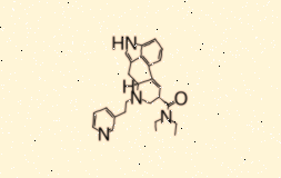 CCN(CC)C(=O)[C@@H]1C=C2c3cccc4[nH]cc(c34)C[C@H]2N(CCc2cccnc2)C1